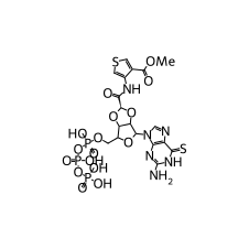 COC(=O)c1cscc1NC(=O)[C@@H]1OC2C(COP(=O)(O)OP(=O)(O)OP(=O)(O)O)OC(n3cnc4c(=S)[nH]c(N)nc43)C2O1